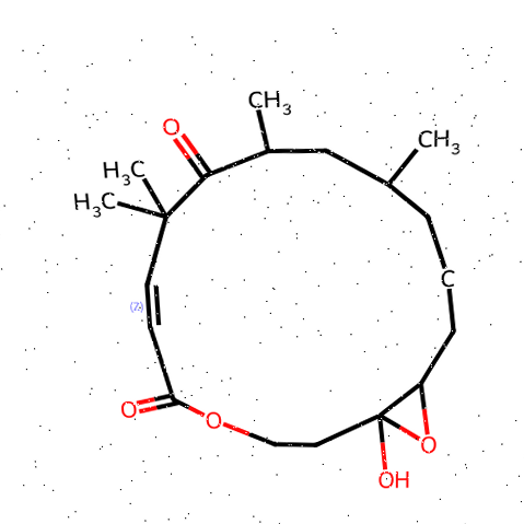 CC1CCCC2OC2(O)CCOC(=O)/C=C\C(C)(C)C(=O)C(C)C1